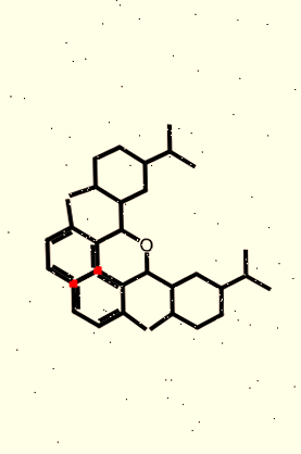 Cc1ccccc1C(OC(c1ccccc1C)C1CC(C(C)C)CCC1C)C1CC(C(C)C)CCC1C